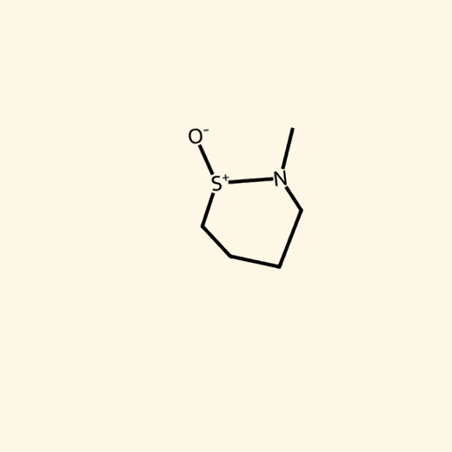 CN1CCCC[S+]1[O-]